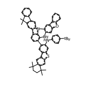 CC(C)(C)c1ccc(Nc2cc3sc4cc5c(cc4c3cc2-c2ccc3c4cc6c(cc4n4c3c2Bc2cc3oc7ccccc7c3cc2-4)-c2ccccc2C6(C)C)C(C)(C)CCC5(C)C)cc1